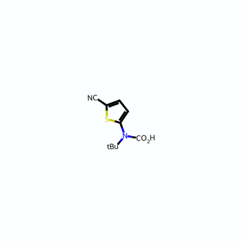 CC(C)(C)N(C(=O)O)c1ccc(C#N)s1